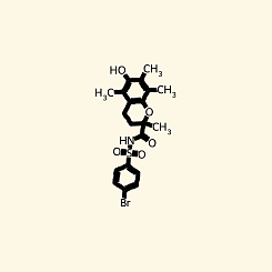 Cc1c(C)c2c(c(C)c1O)CCC(C)(C(=O)NS(=O)(=O)c1ccc(Br)cc1)O2